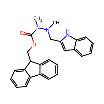 CN(Cc1cc2ccccc2[nH]1)N(C)C(=O)OCC1c2ccccc2-c2ccccc21